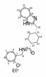 CCOc1ccccc1CNC(=O)[C@H]1CC[C@@H](Cc2nc3ccccc3[nH]2)CC1